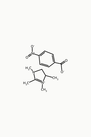 CC1=[N+](C)C(C)CN1C.O=C([O-])c1ccc([N+](=O)[O-])cc1